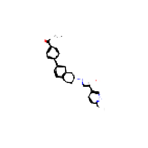 COC(=O)c1ccc(-c2ccc3c(c2)C[C@@H](NC[C@H](O)c2ccc(C)nc2)CC3)cc1